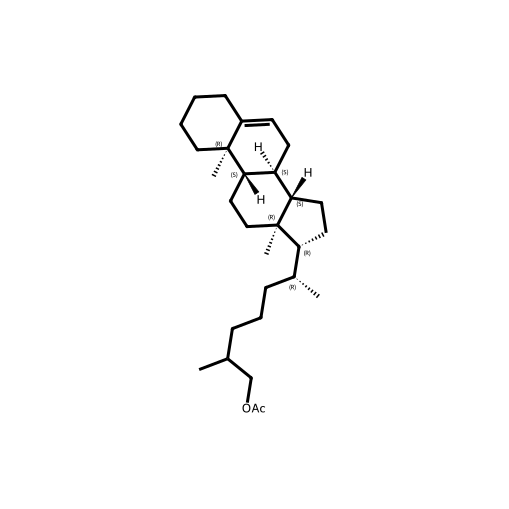 CC(=O)OCC(C)CCC[C@@H](C)[C@H]1CC[C@H]2[C@@H]3CC=C4CCCC[C@]4(C)[C@H]3CC[C@]12C